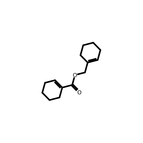 O=C(OCC1=CCCCC1)C1=CCCCC1